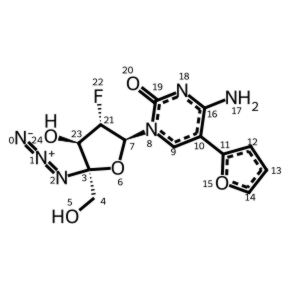 [N-]=[N+]=N[C@]1(CO)O[C@H](n2cc(-c3ccco3)c(N)nc2=O)[C@@H](F)[C@@H]1O